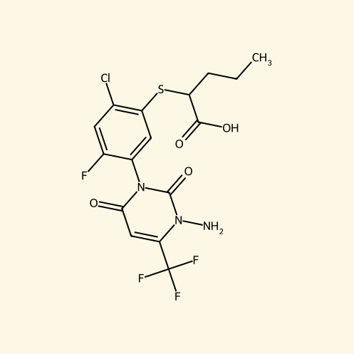 CCCC(Sc1cc(-n2c(=O)cc(C(F)(F)F)n(N)c2=O)c(F)cc1Cl)C(=O)O